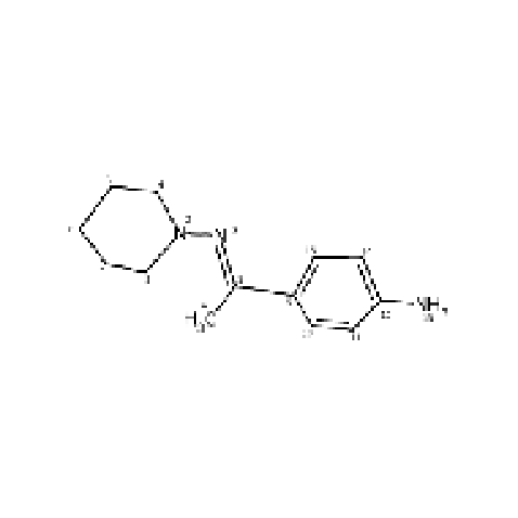 C/C(=N\N1CCCCC1)c1ccc(N)cc1